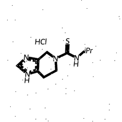 CC(C)NC(=S)N1CCc2[nH]cnc2C1.Cl